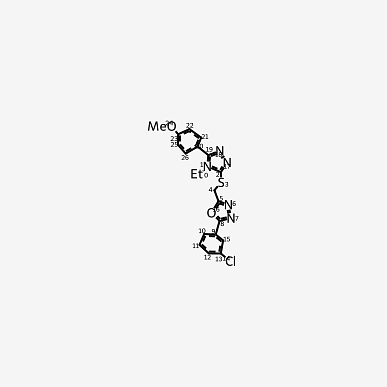 CCn1c(SCc2nnc(-c3cccc(Cl)c3)o2)nnc1-c1ccc(OC)cc1